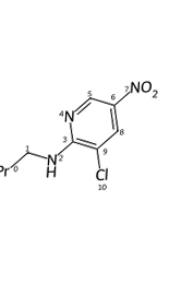 CC(C)CNc1ncc([N+](=O)[O-])cc1Cl